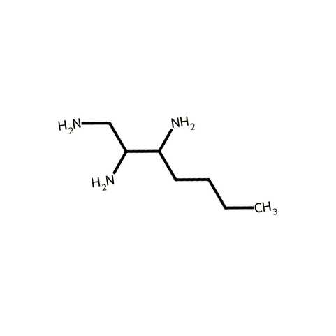 CCCCC(N)C(N)CN